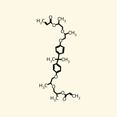 C=CC(=O)OC(C)COC(C)COc1ccc(C(C)(C)c2ccc(OCC(C)OCC(C)OC(=O)C=C)cc2)cc1